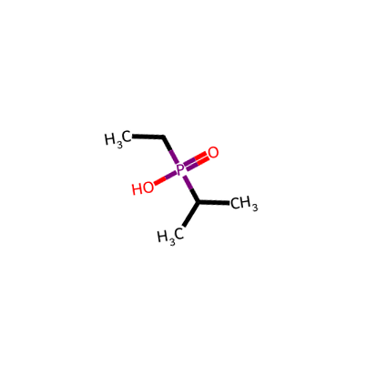 CCP(=O)(O)C(C)C